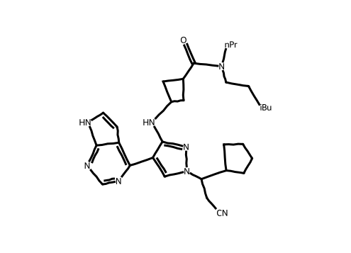 CCCN(CCC(C)CC)C(=O)C1CC(Nc2nn(C(CC#N)C3CCCC3)cc2-c2ncnc3[nH]ccc23)C1